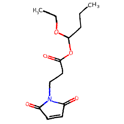 CCCC(OCC)OC(=O)CCN1C(=O)C=CC1=O